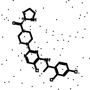 CC(Nc1nc(N2CCN(C(=O)[C@@H]3CCCN3)CC2)ncc1Cl)c1ccc(Cl)cc1Cl